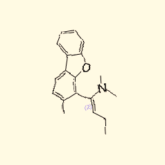 CC/C=C(/c1c(C)ccc2c1oc1ccccc12)N(C)C